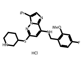 COc1cc(F)ccc1CNc1cc(SC2CCCNC2)nn2c(C(C)C)cnc12.Cl